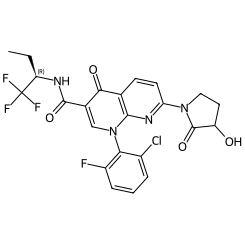 CC[C@@H](NC(=O)c1cn(-c2c(F)cccc2Cl)c2nc(N3CCC(O)C3=O)ccc2c1=O)C(F)(F)F